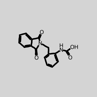 O=C(O)Nc1ccccc1CN1C(=O)c2ccccc2C1=O